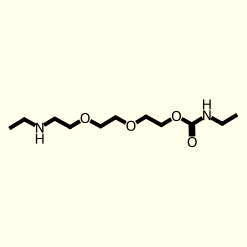 CCNCCOCCOCCOC(=O)NCC